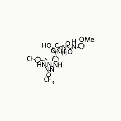 COc1cccc(CNC(=O)C(=O)NC[C@H](NC(=O)c2ccc(Nc3nc(NC4(c5ccc(Cl)cc5)CC4)nc(OCC(F)(F)F)n3)cc2)C(=O)O)c1